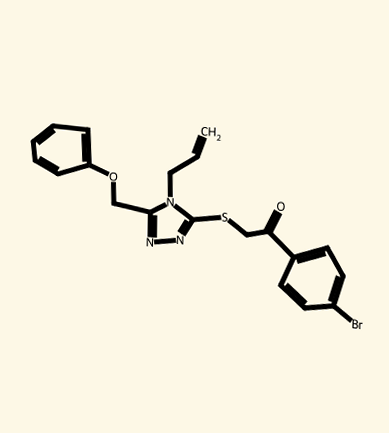 C=CCn1c(COc2ccccc2)nnc1SCC(=O)c1ccc(Br)cc1